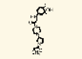 C=CC(=O)N1CCC(N2CCN(C(=O)CNC3=CC(O)(I)C(Cl)C=C3)CC2)C1